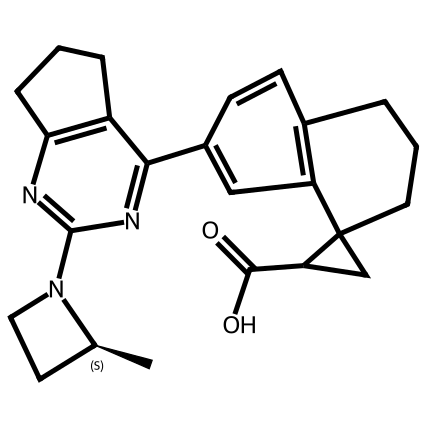 C[C@H]1CCN1c1nc2c(c(-c3ccc4c(c3)C3(CCC4)CC3C(=O)O)n1)CCC2